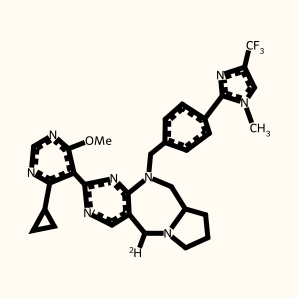 [2H]C1c2cnc(-c3c(OC)ncnc3C3CC3)nc2N(Cc2ccc(-c3nc(C(F)(F)F)cn3C)cc2)CC2CCCN21